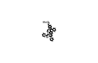 COOCc1ccc2c(C3CCCCC3)c3n(c2c1)CCOc1c-3cccc1N(CC(=O)N1CCCCC1)CC(=O)N1CCCCC1